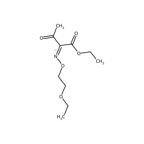 CCOCCO/N=C(/C(C)=O)C(=O)OCC